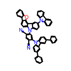 N#Cc1cc(C#N)c(-n2c3ccc(-n4c5ccccc5c5ccccc54)cc3c3c4oc5ccccc5c4ccc32)cc1-n1c2ccc(-c3ccccc3)cc2c2cc(-c3ccccc3)ccc21